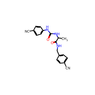 CC(NC(=O)Nc1ccc(C#N)cc1)C(=O)NCc1ccc(C#N)cc1